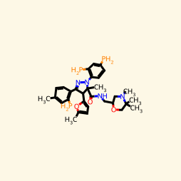 Cc1ccc(C2=NN(c3ccc(P)cc3P)C(C)(C(=O)NCC3CN(C)C(C)(C)CO3)C2c2ccc(C)o2)c(P)c1